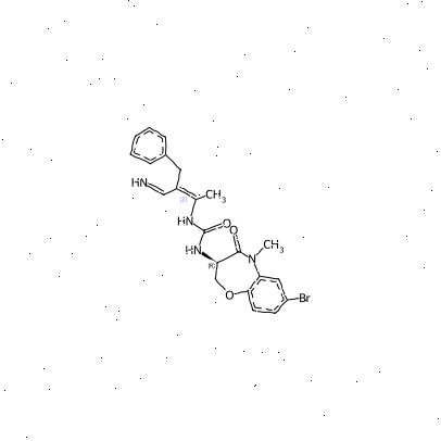 C/C(NC(=O)N[C@@H]1COc2ccc(Br)cc2N(C)C1=O)=C(/C=N)Cc1ccccc1